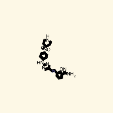 Nc1noc2c(/C=C/c3cnc(Nc4ccc(S(=O)(=O)C5CCNCC5)cc4)nc3)cccc12